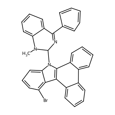 CN1c2ccccc2C(c2ccccc2)=NC1n1c2cccc(Br)c2c2c3ccccc3c3ccccc3c21